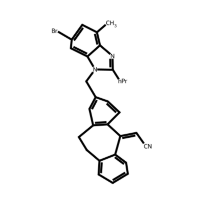 CCCc1nc2c(C)cc(Br)cc2n1Cc1ccc2c(c1)CCc1ccccc1/C2=C\C#N